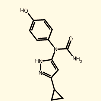 NC(=O)N(c1ccc(O)cc1)c1cc(C2CC2)n[nH]1